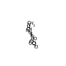 CN1Cc2cnc(N3CC4(CN(C(=O)N5CCOc6cc(Cl)ccc65)C4)C3)nc2C1